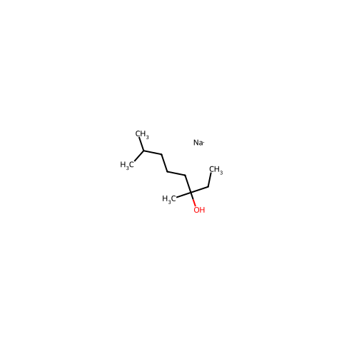 CCC(C)(O)CCCC(C)C.[Na]